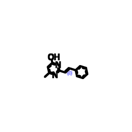 Cc1cc(O)nc(/C=C/c2ccccc2)n1